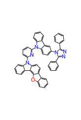 c1ccc(-c2nnc(-c3ccccc3)n2-c2ccc3c(c2)c2ccccc2n3-c2cccc(-n3c4ccccc4c4c5oc6ccccc6c5ccc43)n2)cc1